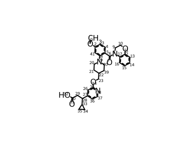 COc1ccc(C(=O)N2CCOc3ccccc32)c(N2CCC(COc3cc(C(CC(=O)O)C4CC4)ccn3)CC2)c1